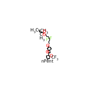 C/C=C/C(C)(C)C(=O)OCCCC(F)(F)CCCOc1ccc2cc(-c3ccc(CCCCC)cc3OC(F)(F)F)oc2c1